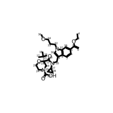 C=C(OCC)c1ccc2c(CN(C(=O)[C@@]3(C(C)(C)C)CN(C(=O)O)CCO3)C3CC3)cn(CCCOC)c2c1